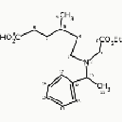 CCOC(=O)CN(CCC(C)CCC(=O)O)C(C)c1ccccc1